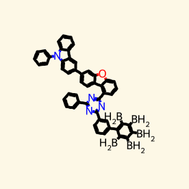 Bc1c(B)c(B)c(-c2cccc(-c3nc(-c4ccccc4)nc(-c4cccc5oc6cc(-c7ccc8c(c7)c7ccccc7n8-c7ccccc7)ccc6c45)n3)c2)c(B)c1B